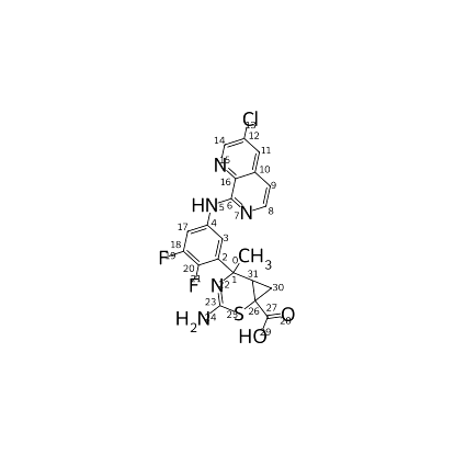 CC1(c2cc(Nc3nccc4cc(Cl)cnc34)cc(F)c2F)N=C(N)SC2(C(=O)O)CC21